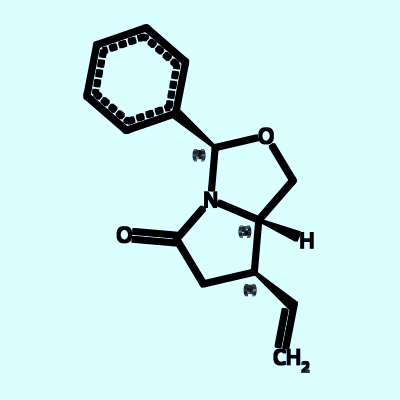 C=C[C@H]1CC(=O)N2[C@@H](c3ccccc3)OC[C@H]12